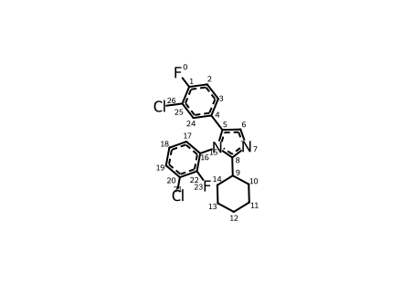 Fc1ccc(-c2cnc(C3CCCCC3)n2-c2cccc(Cl)c2F)cc1Cl